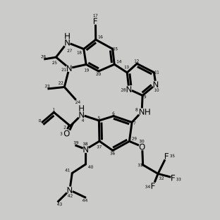 C=CC(=O)Nc1cc(Nc2nccc(-c3cc(F)c4c(c3)N(C(C)C)C(C)N4)n2)c(OCC(F)(F)F)cc1N(C)CCN(C)C